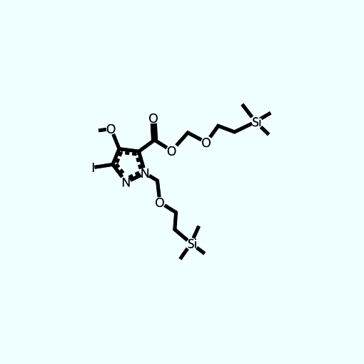 COc1c(I)nn(COCC[Si](C)(C)C)c1C(=O)OCOCC[Si](C)(C)C